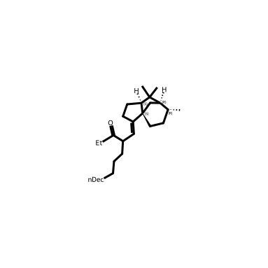 CCCCCCCCCCCCCC(C=C1CC[C@H]2C(C)(C)[C@@H]3C[C@]12CC[C@H]3C)C(=O)CC